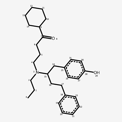 CCCN(CCCC(=O)C1CCCCC1)C(CCc1ccccc1)Cc1ccc(O)cc1